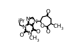 CC(C)Cn1c(=O)n(C)c(=O)c2c1ncn2C1CC(=O)CC(C)C(=O)O1